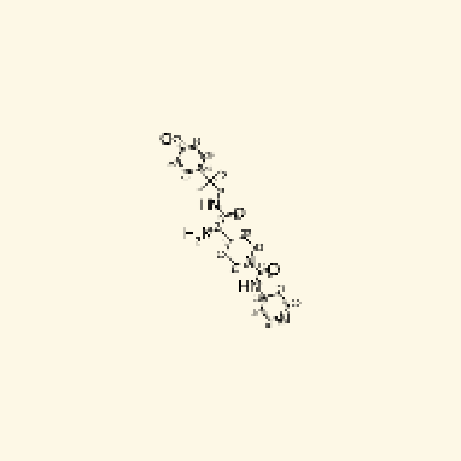 CC(C)(CNC(=O)C(N)C1CCN(C(=O)Nc2ccncc2)CC1)c1ccc(Cl)cc1